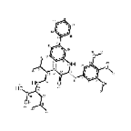 COc1cc(C[C@@H](Nc2cccc(-c3ccccc3)c2)C(=O)N[C@@H](CN[C@@H](CC(C)C)B(O)O)C(C)C)cc(OC)c1OC